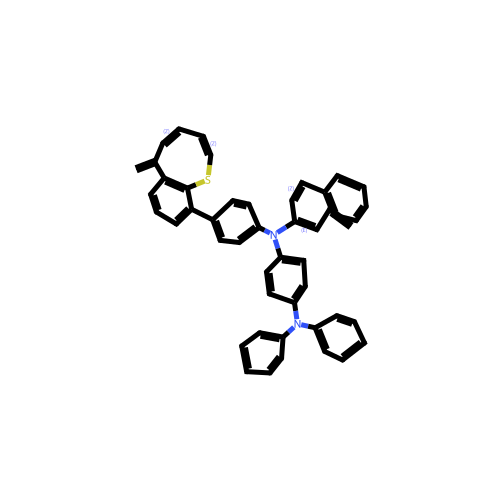 C=C/C=C(\C=C/c1ccccc1)N(c1ccc(-c2cccc3c2S/C=C\C=C/C3=C)cc1)c1ccc(N(c2ccccc2)c2ccccc2)cc1